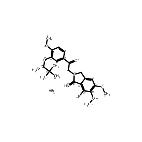 Br.COc1ccc(C(=O)CN2Cc3cc(OC)c(OC)c(F)c3C2=N)cc1O[C@@H](C)C(C)(C)C